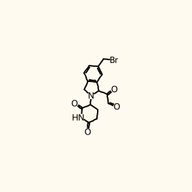 O=CC(=O)C1c2cc(CBr)ccc2CN1C1CCC(=O)NC1=O